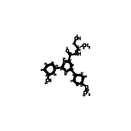 C[C@@H](CO)NC(=O)c1cc(-c2ccc(OC(F)(F)F)cc2)nc(-c2cccc(C#N)c2)n1